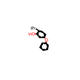 CC(C)c1ccc(Oc2ccccc2)cc1O